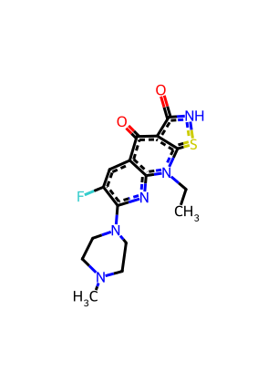 CCn1c2nc(N3CCN(C)CC3)c(F)cc2c(=O)c2c(=O)[nH]sc21